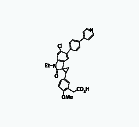 CCN1C(=O)C2(CC2c2ccc(OC)c(CC(=O)O)c2)c2cc(-c3ccc(-c4ccncc4)cc3)c(Cl)cc21